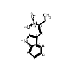 CCC(=Cc1c[nH]c2ccccc12)[N+](=O)[O-]